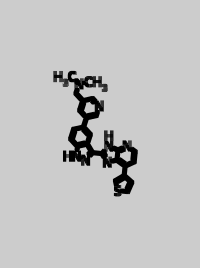 CN(C)Cc1cncc(-c2ccc3[nH]nc(-c4nc5c(-c6ccsc6)ccnc5[nH]4)c3c2)c1